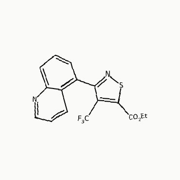 CCOC(=O)c1snc(-c2cccc3ncccc23)c1C(F)(F)F